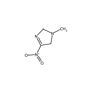 CN1[C]N=C([N+](=O)[O-])C1